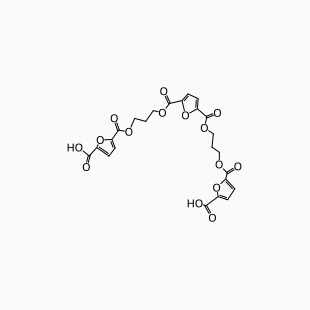 O=C(O)c1ccc(C(=O)OCCCOC(=O)c2ccc(C(=O)OCCCOC(=O)c3ccc(C(=O)O)o3)o2)o1